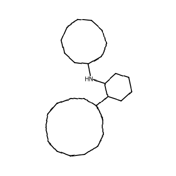 C1CCCCCCC(C2CCCCC2NC2CCCCCCCCC2)CCCCC1